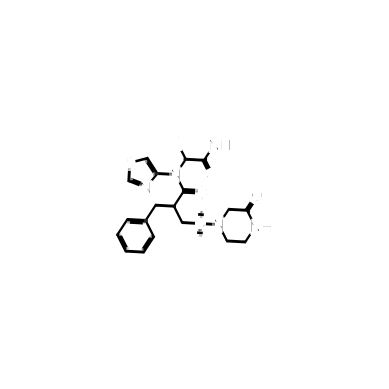 CC(C(N)=O)N(C(=O)C(Cc1ccccc1)CS(=O)(=O)N1CCNC(=O)C1)c1cscn1